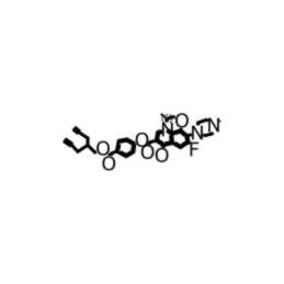 C#CCC(CC#C)COC(=O)c1ccc(OC(=O)c2cn3c4c(c(N5CCN(C)CC5)c(F)cc4c2=O)OC[C@@H]3C)cc1